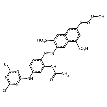 NC(=O)Nc1cc(Nc2nc(Cl)nc(Cl)n2)ccc1N=Nc1cc2c(S(=O)(=O)O)cc(SOOO)cc2cc1S(=O)(=O)O